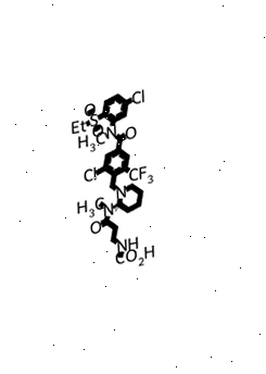 CCS(=O)(=O)c1ccc(Cl)cc1N(C)C(=O)c1cc(Cl)c(CN2CCCC[C@H]2N(C)C(=O)CCNC(=O)O)c(C(F)(F)F)c1